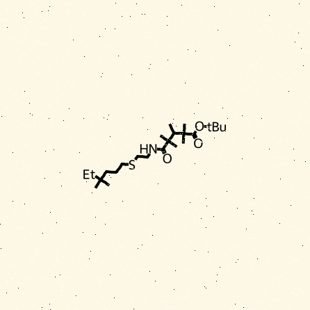 CCC(C)(C)CCCSCCNC(=O)C(C)(C)C(C)C(C)(C)C(=O)OC(C)(C)C